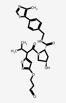 Cc1ncsc1-c1ccc(CNC(=O)[C@@H]2C[C@@H](O)CN2C(=O)C(c2cc(OCCC=O)no2)C(C)C)cc1